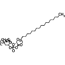 CCCCCCCCCCCCCCCCC[C@H]1CO[C@H](OP(=O)([O-])OC(C[N+](C)(C)C)OC)CO1